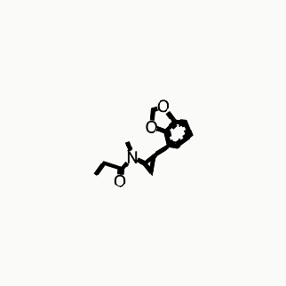 CCC(=O)N(C)C1CC1c1cccc2c1OCO2